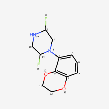 FC1CN(c2cccc3c2OCCO3)C(F)CN1